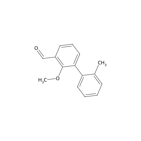 COc1c(C=O)cccc1-c1ccccc1C